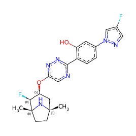 C[C@@]12CC[C@@](C)(N1)[C@@H](F)[C@@H](Oc1cnc(-c3ccc(-n4cc(F)cn4)cc3O)nn1)C2